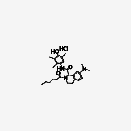 CCCCCC(=O)N1CCc2ccc(N(C)C)cc2C1C(=O)Nc1cc(C)c(O)c(C)c1C.Cl